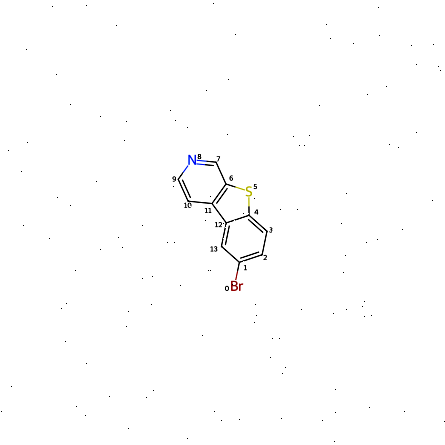 Brc1ccc2sc3cnccc3c2c1